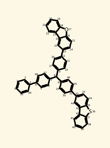 c1ccc(-c2ccc(C(c3ccc(-c4ccc5oc6ccccc6c5c4)cc3)c3ccc(-c4ccc5sc6ccccc6c5c4)cc3)cc2)cc1